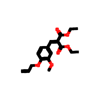 C=CCOc1ccc(C=C(C(=O)OCC)C(=O)OCC)cc1OC